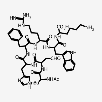 CCCCC(NC(C)=O)C(=O)NC(CC=O)C(=O)NC(Cc1c[nH]cn1)C(=O)NC(Cc1ccccc1)C(=O)NC(CCCNC(=N)N)C(=O)NC(Cc1c[nH]c2ccccc12)C(=O)NC(CCCCN)C(=O)O